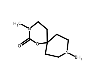 BN1CCC2(CC1)CCN(C)C(=O)O2